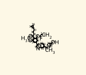 C=CC(F)Oc1cc(-c2cnc3cc(C(C)N4CC(O)C4)ccn23)cc(OC)c1C(=O)CCCC1CC1